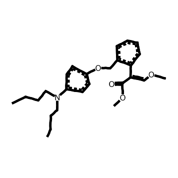 CCCCN(CCCC)c1ccc(OCc2ccccc2/C(=C\OC)C(=O)OC)cc1